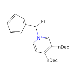 CCCCCCCCCCc1cc[n+](C(CC)c2ccccc2)cc1CCCCCCCCCC